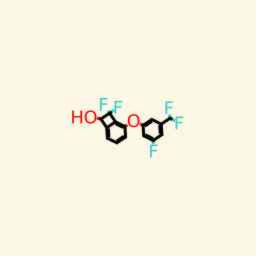 OC1c2cccc(Oc3cc(F)cc(C(F)F)c3)c2C1(F)F